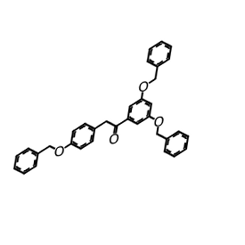 O=C(Cc1ccc(OCc2ccccc2)cc1)c1cc(OCc2ccccc2)cc(OCc2ccccc2)c1